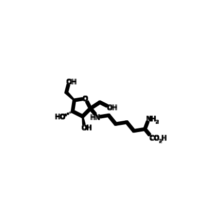 NC(CCCCNC1(CO)O[C@H](CO)[C@@H](O)[C@@H]1O)C(=O)O